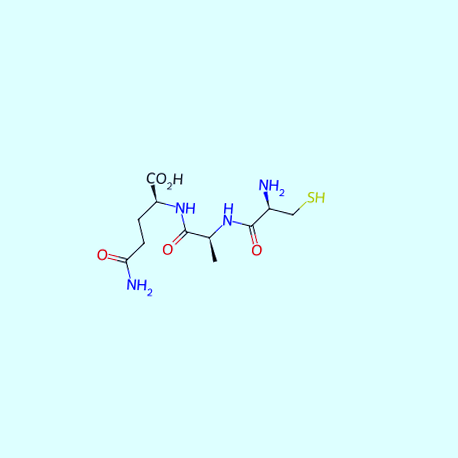 C[C@H](NC(=O)[C@@H](N)CS)C(=O)N[C@@H](CCC(N)=O)C(=O)O